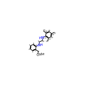 COCc1ccccc1NCCNc1c(C)cc(C)cc1C